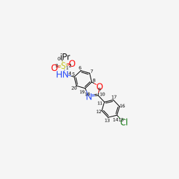 CC(C)S(=O)(=O)Nc1ccc2oc(-c3ccc(Cl)cc3)nc2c1